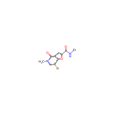 CCNC(=O)c1cc2c(=O)n(C)cc(Br)c2o1